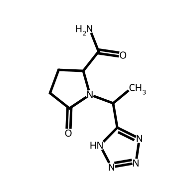 CC(c1nnn[nH]1)N1C(=O)CCC1C(N)=O